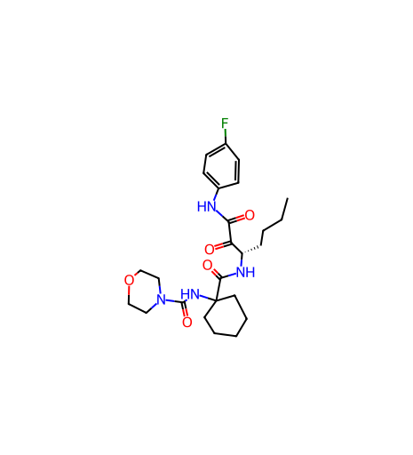 CCCC[C@H](NC(=O)C1(NC(=O)N2CCOCC2)CCCCC1)C(=O)C(=O)Nc1ccc(F)cc1